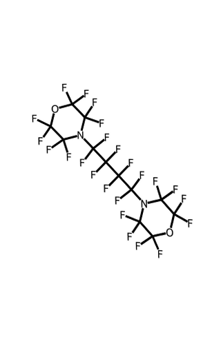 FC1(F)OC(F)(F)C(F)(F)N(C(F)(F)C(F)(F)C(F)(F)C(F)(F)N2C(F)(F)C(F)(F)OC(F)(F)C2(F)F)C1(F)F